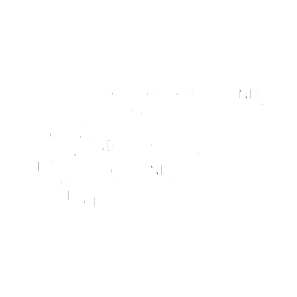 CC1(C)OB(c2c(N)c3ccc(N)cc3oc2=O)OC1(C)C